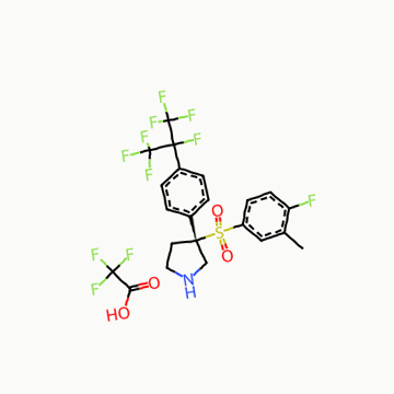 Cc1cc(S(=O)(=O)[C@@]2(c3ccc(C(F)(C(F)(F)F)C(F)(F)F)cc3)CCNC2)ccc1F.O=C(O)C(F)(F)F